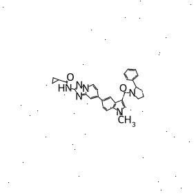 Cn1cc(C(=O)N2CCCC2c2ccccc2)c2cc(-c3ccn4nc(NC(=O)C5CC5)nc4c3)ccc21